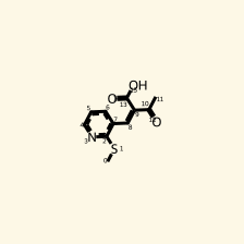 CSc1ncccc1/C=C(/C(C)=O)C(=O)O